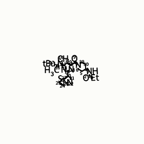 CCC(=O)NC1CCN(C(=O)c2cc(N(C)[C@H](C)C(C)(C)C)nc(-c3cnn4ccsc34)n2)CC1